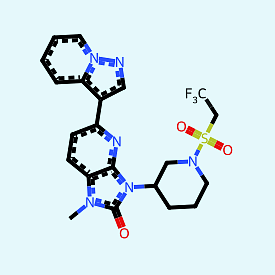 Cn1c(=O)n(C2CCCN(S(=O)(=O)CC(F)(F)F)C2)c2nc(-c3cnn4ccccc34)ccc21